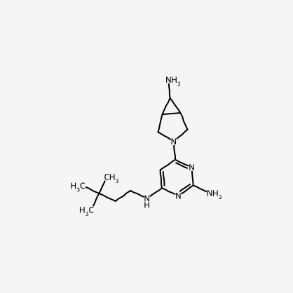 CC(C)(C)CCNc1cc(N2CC3C(N)C3C2)nc(N)n1